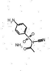 CC(=O)N(C#N)S(=O)(=O)c1ccc(N)cc1.N